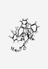 COC(=O)[C@H](Cc1cn(C(c2ccccc2)(c2ccccc2)c2ccccc2)cn1)N(C=O)Cc1ccccc1